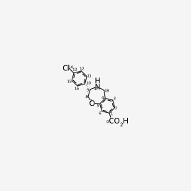 O=C(O)c1ccc2c(c1)OC[C@H](c1ccc(Cl)cc1)NC2